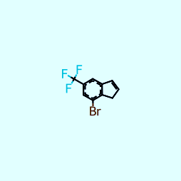 FC(F)(F)c1cc(Br)c2c(c1)C=CC2